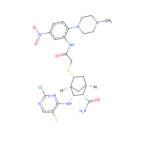 CN1CCN(c2ccc([N+](=O)[O-])cc2NC(=O)CS[C@@H]2C[C@@H]3C[C@H]2[C@@H](Nc2nc(Cl)ncc2F)[C@H]3C(N)=O)CC1